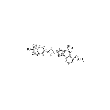 COc1cccc2c1nc(N)n1nc([C@H]3C[C@H](c4ccc(C(C)(C)O)cc4)C3)nc21